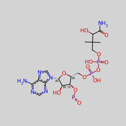 CC(C)(COP(=O)(O)OP(=O)(O)OC[C@H]1O[C@@H](n2cnc3c(N)ncnc32)[C@H](O)[C@@H]1OP=O)C(O)C(N)=O